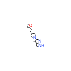 Cc1c(N2CC=C(CCC3CCCO3)CC2)cnc2[nH]ccc12